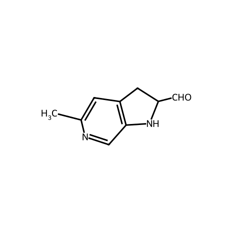 Cc1cc2c(cn1)NC(C=O)C2